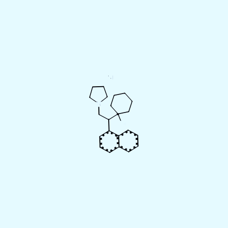 N[C@H]1CCN(CC(c2cccc3ccccc23)C2(O)CCCCC2)C1